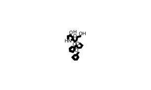 O=c1cc[nH]c(C(CC(O)CO)OC2(c3ccccc3)OCCCC2OCc2ccccc2)c1